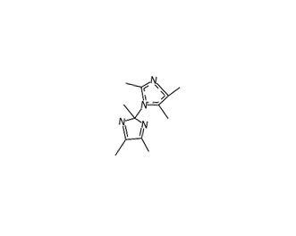 CC1=NC(C)(n2c(C)nc(C)c2C)N=C1C